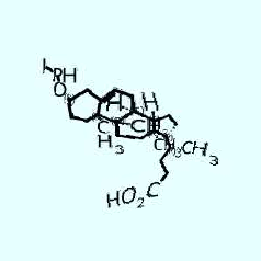 C[C@H](CCC(=O)O)[C@H]1CC[C@H]2[C@@H]3CC=C4C[C@@H](OPI)CC[C@]4(C)[C@@]3(C)CC[C@]12C